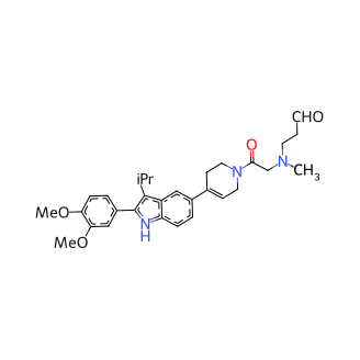 COc1ccc(-c2[nH]c3ccc(C4=CCN(C(=O)CN(C)CCC=O)CC4)cc3c2C(C)C)cc1OC